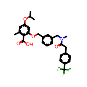 Cc1cc(OC(C)C)cc(OCc2cccc(CN(C)C(=O)Cc3ccc(C(F)(F)F)cc3)c2)c1C(=O)O